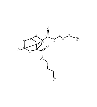 CCCCOC(=O)C12CC3CC(O)(C1)CC(C(=O)OCCCC)(C3)C2